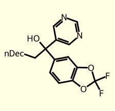 CCCCCCCCCCCC(O)(c1cncnc1)c1ccc2c(c1)OC(F)(F)O2